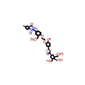 COc1ccc(C2CC(c3cc(CO)c(CO)c(CO)c3)=NO2)cc1OCCOc1ccc(C2NC(=O)c3cc(C)ccc3N2)cc1CO